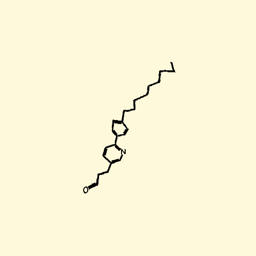 CCCCCCCCCc1ccc(-c2ccc(CCC=O)cn2)cc1